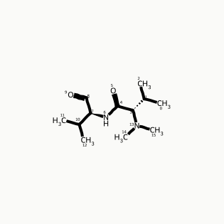 CC(C)[C@@H](C(=O)N[C@H]([C]=O)C(C)C)N(C)C